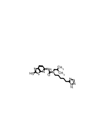 CC(C)CN(CCCCCc1nnn[nH]1)C(=O)Nc1ccc2nc(S)sc2n1